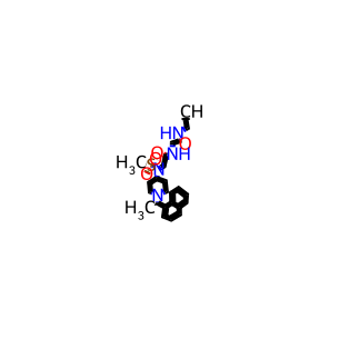 C#CCNC(=O)CNC(=O)CN(C1CCN([C@@H](C)c2cccc3ccccc23)CC1)S(C)(=O)=O